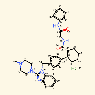 CN1CCN(c2nc3ccccc3n2Cc2ccc([C@@H]3CCCC[C@H]3C(=O)NCC(=O)Nc3ccccc3)cc2)CC1.Cl